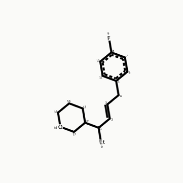 CC[C](C=CCc1ccc(F)cc1)C1CCCOC1